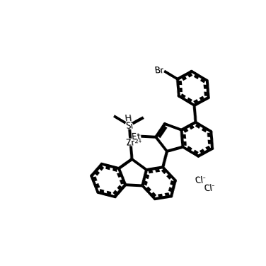 CCC1=Cc2c(-c3cccc(Br)c3)cccc2C1c1cccc2c1[CH]([Zr+2][SiH](C)C)c1ccccc1-2.[Cl-].[Cl-]